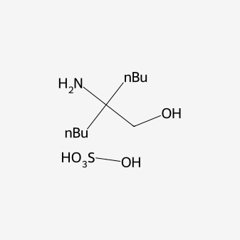 CCCCC(N)(CO)CCCC.O=S(=O)(O)O